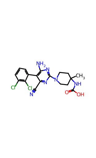 CC1(NC(=O)O)CCN(c2nc(N)c(-c3cccc(Cl)c3Cl)c(C#N)n2)CC1